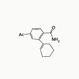 CC(=O)c1ccc(C(N)=O)c(C2=CCCCC2)c1